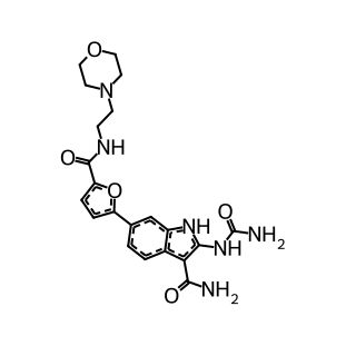 NC(=O)Nc1[nH]c2cc(-c3ccc(C(=O)NCCN4CCOCC4)o3)ccc2c1C(N)=O